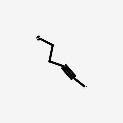 [CH2]C#CCC[S]